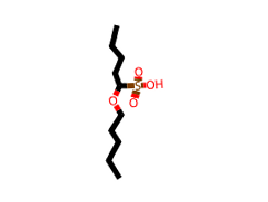 CCCCCOC(CCCC)S(=O)(=O)O